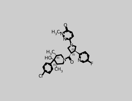 C[C@@H]1CN(C(=O)[C@@H]2CN(c3ccc(=O)n(C)n3)C[C@H]2c2ccc(F)cn2)C[C@H](C)[C@@]1(O)c1ccc(Cl)cc1